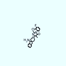 Cc1c(N2CCC3(CC2)Cc2ccccc2[C@H]3N)nc(C)n(-c2cccc(F)c2Cl)c1=O